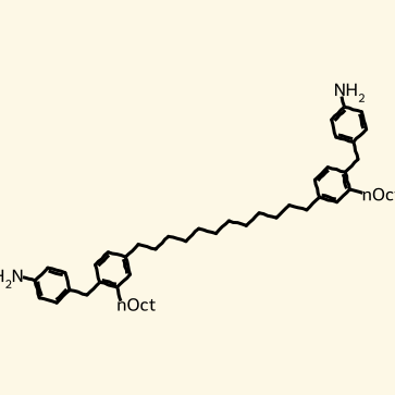 CCCCCCCCc1cc(CCCCCCCCCCCCc2ccc(Cc3ccc(N)cc3)c(CCCCCCCC)c2)ccc1Cc1ccc(N)cc1